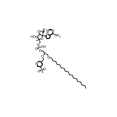 CCCCCCCCCCCCCCCCCCOC[C@H](COP(=O)(O)OCC1(C)O[C@@](C#N)(c2ccc3c(N)ncnn23)[C@H](O)[C@@H]1O)OCc1cncc(S(C)(=O)=O)c1